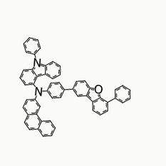 c1ccc(-c2cccc3c2oc2ccc(-c4ccc(N(c5ccc6ccc7ccccc7c6c5)c5cccc6c5c5ccccc5n6-c5ccccc5)cc4)cc23)cc1